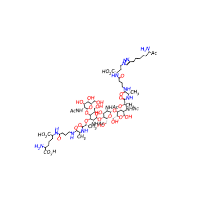 CC(=O)N[C@H]1[C@H](OC2[C@@H](CO)OC(O)[C@H](NC(C)=O)[C@H]2O[C@H](C)C(=O)N[C@@H](C)C(=O)NCCCC(=O)N[C@@H](CCn2cc(CCCCCC(N)C(C)=O)nn2)C(=O)O)O[C@H](CO)[C@@H](O[C@@H]2O[C@H](CO)C(O[C@@H]3O[C@H](CO)[C@@H](O)[C@H](O)[C@H]3NC(C)=O)[C@H](O[C@H](C)C(=O)N[C@@H](C)C(=O)NCCCC(=O)N[C@@H](CCCC(N)C(=O)O)C(=O)O)[C@H]2NC(C)=O)[C@@H]1O